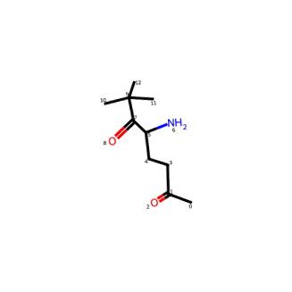 CC(=O)CCC(N)C(=O)C(C)(C)C